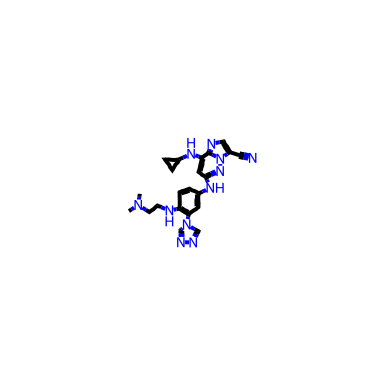 CN(C)CCNc1ccc(Nc2cc(NC3CC3)c3ncc(C#N)n3n2)cc1-n1cnnc1